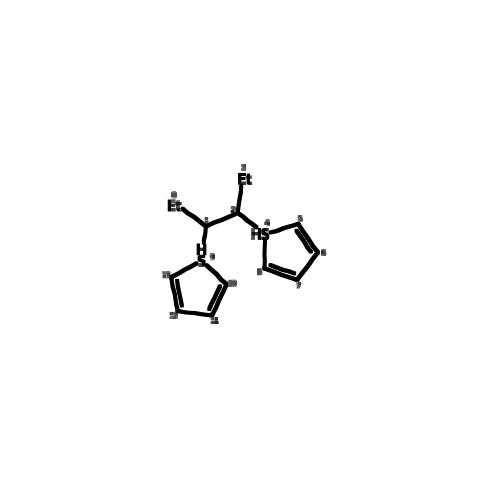 [CH2]CC(C(CC)[SH]1C=CC=C1)[SH]1C=CC=C1